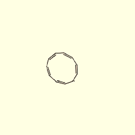 [CH]1C=CC=CC=CC=CC=C1